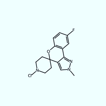 Cn1cc2c(n1)-c1cc(F)ccc1OC21CCN(Cl)CC1